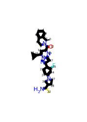 C[C@@H]1c2ccccc2CCN1C(=O)c1cc(C2CC2)n2nc(-c3ccc(N4CCC(C(N)=S)C4)cc3F)cc2n1